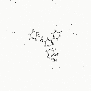 CC1CCN(c2cc(OCc3ccccc3)cc(-c3ccc(C#N)c(F)c3)n2)CC1